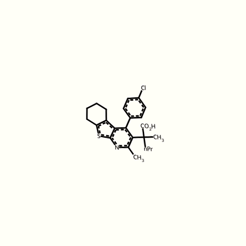 CCCC(C)(C(=O)O)c1c(C)nc2sc3c(c2c1-c1ccc(Cl)cc1)CCCC3